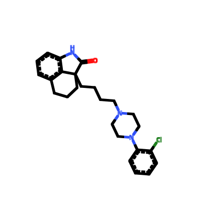 O=C1Nc2cccc3c2C1(CCCCN1CCN(c2ccccc2Cl)CC1)CCC3